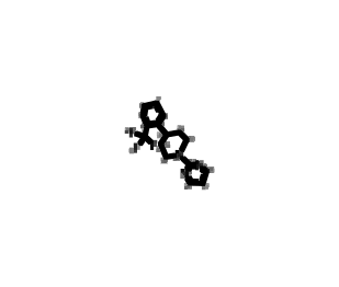 FC(F)(F)c1ccccc1C1CCN(c2ncccn2)CC1